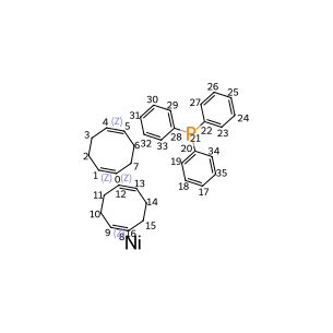 C1=C\CC/C=C\CC/1.C1=C\CC/C=C\CC/1.[Ni].c1ccc(P(c2ccccc2)c2ccccc2)cc1